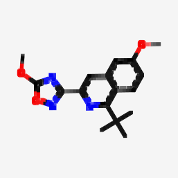 COc1ccc2c(C(C)(C)C)nc(-c3noc(OC)n3)cc2c1